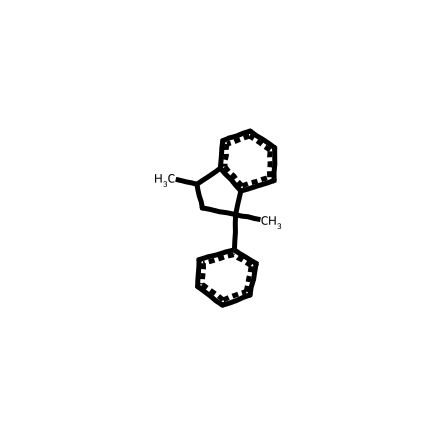 CC1CC(C)(c2ccccc2)c2ccccc21